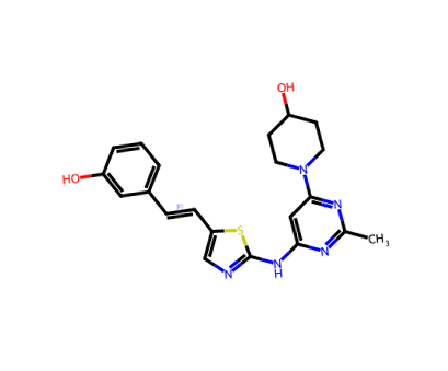 Cc1nc(Nc2ncc(/C=C/c3cccc(O)c3)s2)cc(N2CCC(O)CC2)n1